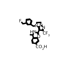 CC(NC(=O)c1c(C(F)(F)F)nn2c1N(Cc1cccc(CF)c1)CC2)c1ccc(C(=O)O)cc1